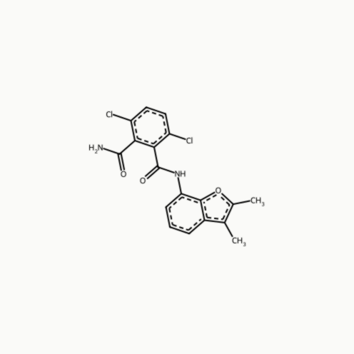 Cc1oc2c(NC(=O)c3c(Cl)ccc(Cl)c3C(N)=O)cccc2c1C